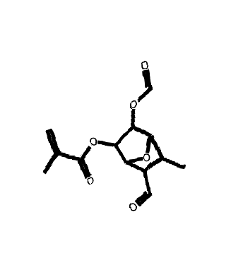 C=C(C)C(=O)OC1C2OC(C(C)C2C=O)C1OC=O